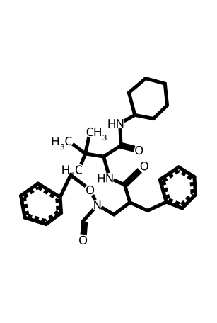 CC(C)(C)C(NC(=O)C(Cc1ccccc1)CN(C=O)OCc1ccccc1)C(=O)NC1CCCCC1